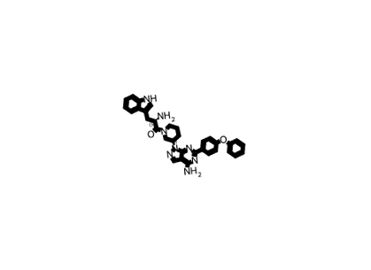 Nc1nc(-c2ccc(Oc3ccccc3)cc2)nc2c1cnn2[C@@H]1CCCN(C(=O)[C@@H](N)Cc2c[nH]c3ccccc23)C1